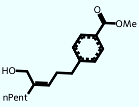 CCCCCC(=CCCc1ccc(C(=O)OC)cc1)CO